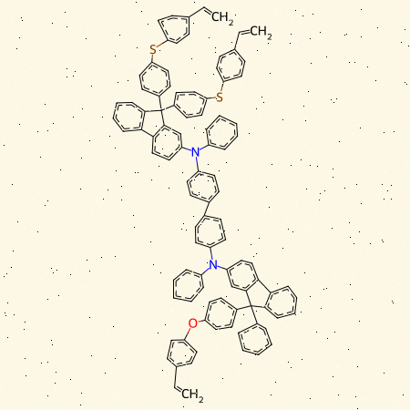 C=Cc1ccc(Oc2ccc(C3(c4ccccc4)c4ccccc4-c4ccc(N(c5ccccc5)c5ccc(-c6ccc(N(c7ccccc7)c7ccc8c(c7)C(c7ccc(Sc9ccc(C=C)cc9)cc7)(c7ccc(Sc9ccc(C=C)cc9)cc7)c7ccccc7-8)cc6)cc5)cc43)cc2)cc1